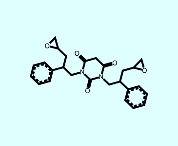 O=C1CC(=O)N(CC(CC2CO2)c2ccccc2)C(=O)N1CC(CC1CO1)c1ccccc1